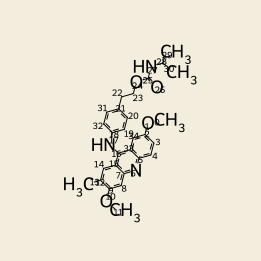 COc1ccc2nc3cc(OC)c(C)cc3c(Nc3ccc(CCOC(=O)NC(C)C)cc3)c2c1